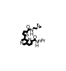 CCCNC(=O)c1ccc2cncc(-c3ccc(C(=O)NCCN(C)C)s3)c2n1